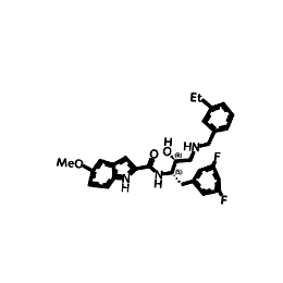 CCc1cccc(CNC[C@@H](O)[C@H](Cc2cc(F)cc(F)c2)NC(=O)c2cc3cc(OC)ccc3[nH]2)c1